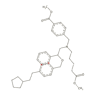 COC(=O)CCCCN(Cc1ccc(C(=O)OC)cc1)CC(OCc1ccc(CCC2CCCC2)cc1)c1ccccc1